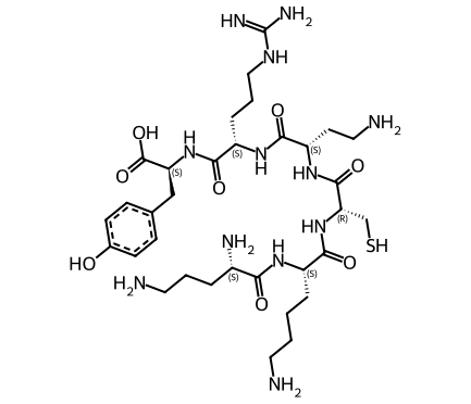 N=C(N)NCCC[C@H](NC(=O)[C@H](CCN)NC(=O)[C@H](CS)NC(=O)[C@H](CCCCN)NC(=O)[C@@H](N)CCCN)C(=O)N[C@@H](Cc1ccc(O)cc1)C(=O)O